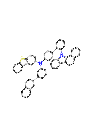 c1cc(-c2ccc3ccccc3c2)cc(N(c2ccc(-c3ccccc3-n3c4ccccc4c4ccc5ccccc5c43)cc2)c2ccc3sc4ccccc4c3c2)c1